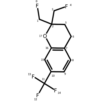 FCC1(CF)CCc2ccc(C(F)(F)F)cc2O1